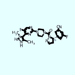 CC1=C(c2nc(N3CCN(C(=O)N4N=CC[C@H]4c4cc(F)cc(C#N)c4)CC3)ncc2F)N(C)NN1